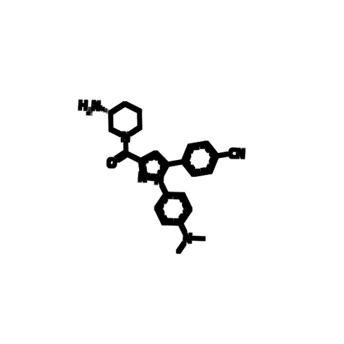 CN(C)c1ccc(-n2nc(C(=O)N3CCC[C@@H](N)C3)cc2-c2ccc(C#N)cc2)cc1